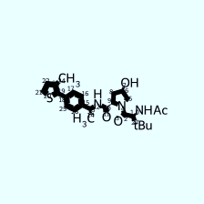 CC(=O)N[C@H](C(=O)N1C[C@H](O)C[C@H]1C(=O)N[C@@H](C)c1ccc(-c2sccc2C)cc1)C(C)(C)C